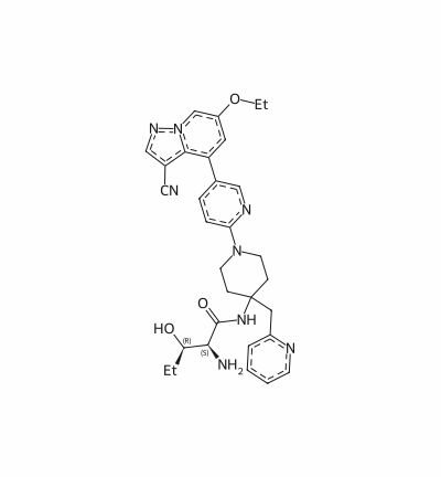 CCOc1cc(-c2ccc(N3CCC(Cc4ccccn4)(NC(=O)[C@@H](N)[C@H](O)CC)CC3)nc2)c2c(C#N)cnn2c1